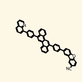 N#Cc1ccc2oc3ccc(-c4ccc(-c5cc6c7ccccc7c(-c7ccc(-c8cccc9cccnc89)cc7)cc6c6ccccc56)cc4)cc3c2c1